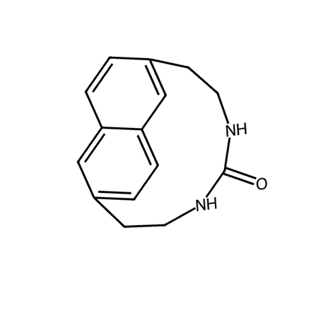 O=C1NCCc2ccc3cc(ccc3c2)CCN1